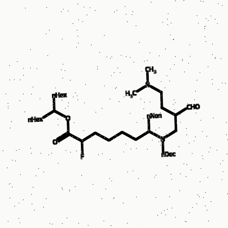 CCCCCCCCCCN(CC(C=O)CCN(C)C)C(CCCCCCCCC)CCCCC(F)C(=O)OC(CCCCCC)CCCCCC